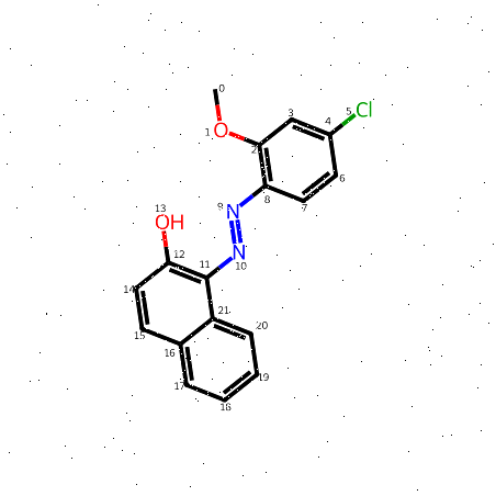 COc1cc(Cl)ccc1N=Nc1c(O)ccc2ccccc12